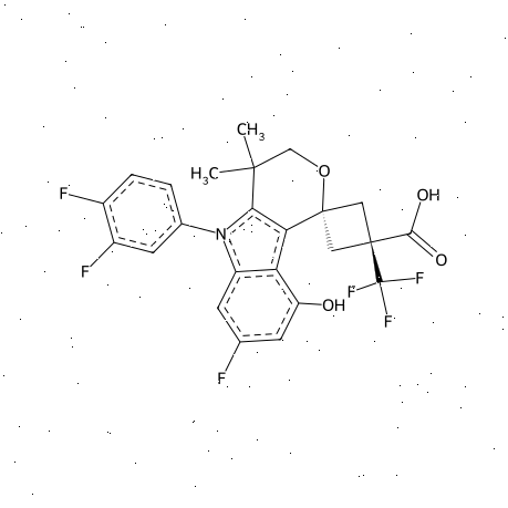 CC1(C)CO[C@]2(C[C@](C(=O)O)(C(F)(F)F)C2)c2c1n(-c1ccc(F)c(F)c1)c1cc(F)cc(O)c12